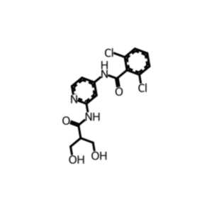 O=C(Nc1ccnc(NC(=O)C(CO)CO)c1)c1c(Cl)cccc1Cl